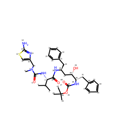 CC(C)[C@H](NC(=O)N(C)Cc1csc(N)n1)C(=O)N[C@@H](Cc1ccccc1)C[C@H](O)[C@H](Cc1ccccc1)NC(=O)OC(C)(C)C